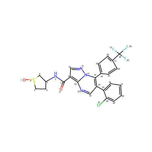 O=C(NC1CC[S+]([O-])C1)c1cnn2c(-c3ccc(C(F)(F)F)cc3)c(-c3ccccc3Cl)cnc12